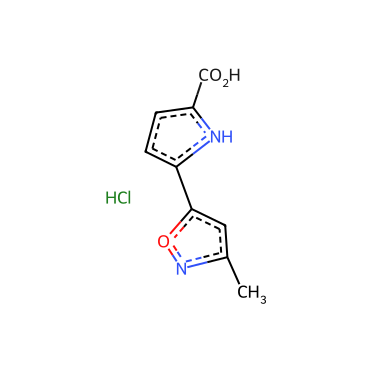 Cc1cc(-c2ccc(C(=O)O)[nH]2)on1.Cl